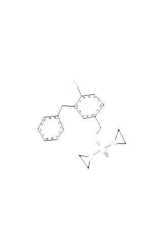 O=[N+]([O-])c1ccc(COP(=O)(N2CC2)N2CC2)cc1Cc1ccccc1